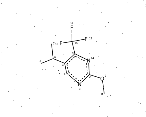 COc1ncc(C(C)C)c(C(F)(F)F)n1